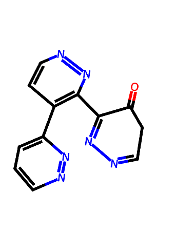 O=C1CC=NN=C1c1nnccc1-c1cccnn1